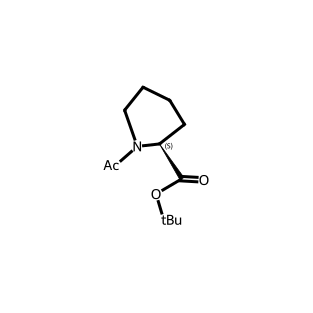 CC(=O)N1CCCC[C@H]1C(=O)OC(C)(C)C